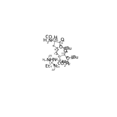 CCC(NC(N)(C(=O)O)C(SSCC(N)(C(=O)O)C(=O)OC(C)(C)C)C(=O)OC(C)(C)C)(N(C)C)N(C)C